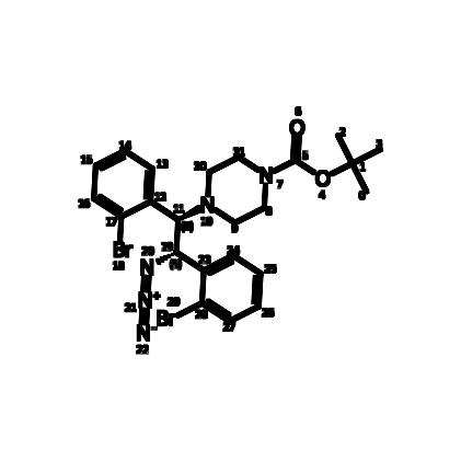 CC(C)(C)OC(=O)N1CCN([C@H](c2ccccc2Br)[C@@H](N=[N+]=[N-])c2ccccc2Br)CC1